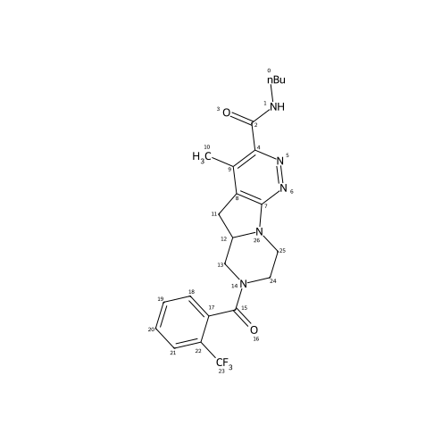 CCCCNC(=O)c1nnc2c(c1C)CC1CN(C(=O)c3ccccc3C(F)(F)F)CCN21